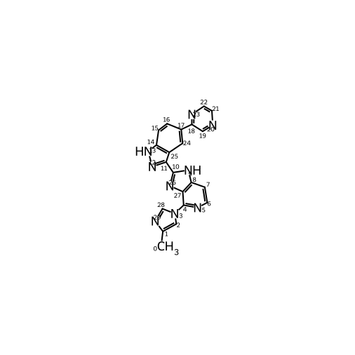 Cc1cn(-c2nccc3[nH]c(-c4n[nH]c5ccc(-c6cnccn6)cc45)nc23)cn1